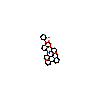 c1ccc(-c2cccc3cccc(-c4ccccc4N(c4ccccc4-c4ccc5c(c4)oc4ccccc45)c4cccc5ccccc45)c23)cc1